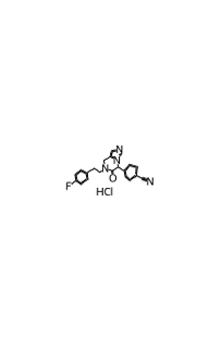 Cl.N#Cc1ccc(C2C(=O)N(CCc3ccc(F)cc3)Cc3cncn32)cc1